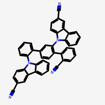 N#Cc1ccc2c(c1)c1ccccc1n2-c1ccccc1-c1ccc(-c2ccccc2C#N)c(-n2c3ccccc3c3cc(C#N)ccc32)c1